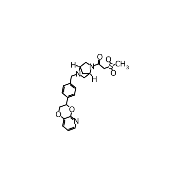 CS(=O)(=O)CC(=O)N1C[C@@H]2C[C@H]1CN2Cc1ccc(C2COc3cccnc3O2)cc1